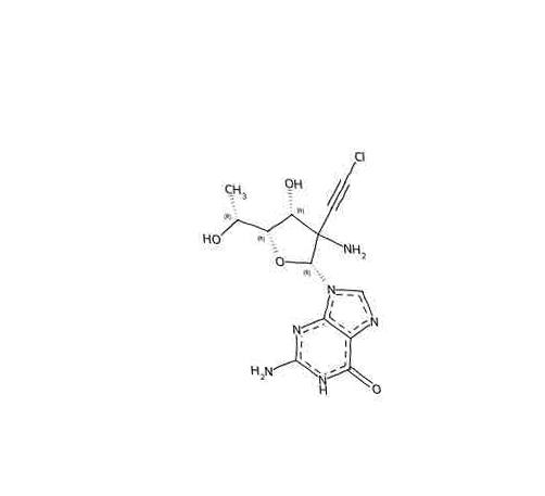 C[C@@H](O)[C@H]1O[C@@H](n2cnc3c(=O)[nH]c(N)nc32)C(N)(C#CCl)[C@H]1O